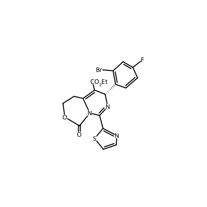 CCOC(=O)C1=C2CCOC(=O)N2C(c2nccs2)=N[C@H]1c1ccc(F)cc1Br